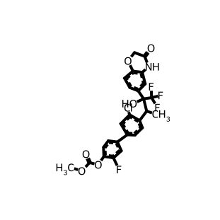 COC(=O)Oc1ccc(-c2ccc(C(C)C(O)(c3ccc4c(c3)NC(=O)CO4)C(F)(F)F)c(Cl)c2)cc1F